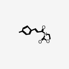 Cc1ccc(C=CC(=O)N2CCOC2=O)cc1